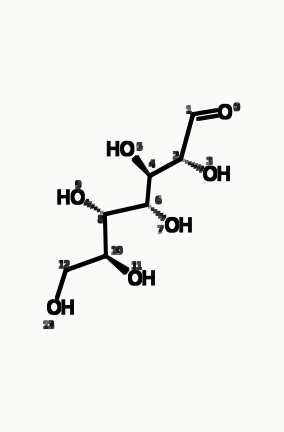 O=C[C@H](O)[C@H](O)[C@H](O)[C@@H](O)[C@@H](O)CO